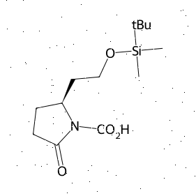 CC(C)(C)[Si](C)(C)OCC[C@@H]1CCC(=O)N1C(=O)O